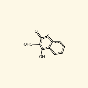 O=[C]c1c(O)c2ccccc2sc1=O